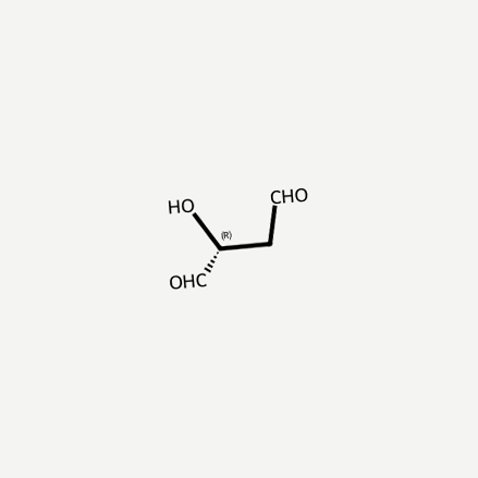 O=CC[C@@H](O)C=O